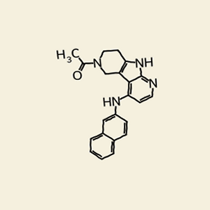 CC(=O)N1CCc2[nH]c3nccc(Nc4ccc5ccccc5c4)c3c2C1